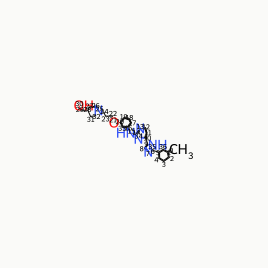 Cc1cccc(-c2ncc(-c3ccnc(Nc4cccc(OCCCN5CCC(CO)CC5)c4)n3)[nH]2)c1